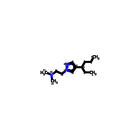 CCCC(CC)c1cnn(CCN(C)C)c1